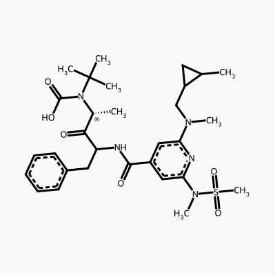 CC1CC1CN(C)c1cc(C(=O)NC(Cc2ccccc2)C(=O)[C@@H](C)N(C(=O)O)C(C)(C)C)cc(N(C)S(C)(=O)=O)n1